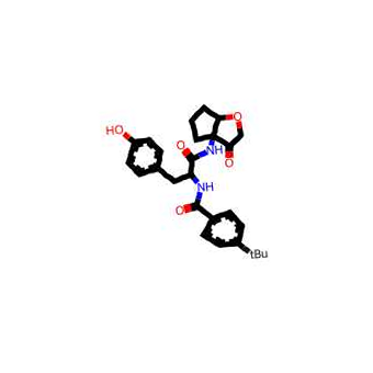 CC(C)(C)c1ccc(C(=O)NC(Cc2ccc(O)cc2)C(=O)NC23CCCC2OCC3=O)cc1